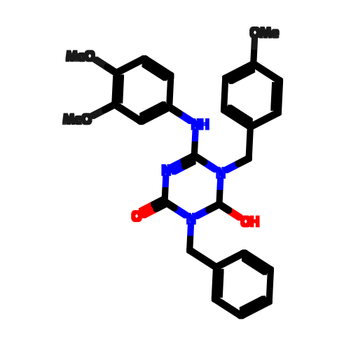 COc1ccc(CN2C(Nc3ccc(OC)c(OC)c3)=NC(=O)N(Cc3ccccc3)C2O)cc1